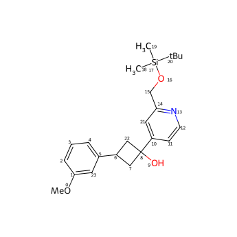 COc1cccc(C2CC(O)(c3ccnc(CO[Si](C)(C)C(C)(C)C)c3)C2)c1